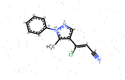 Cc1c(C(Cl)=CC#N)cnn1-c1ccccc1